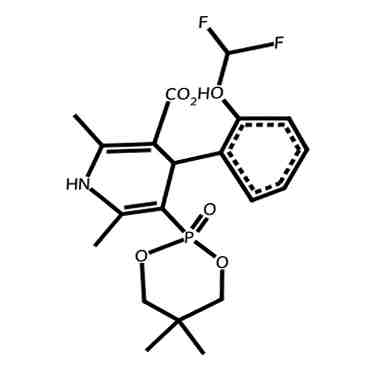 CC1=C(C(=O)O)C(c2ccccc2OC(F)F)C(P2(=O)OCC(C)(C)CO2)=C(C)N1